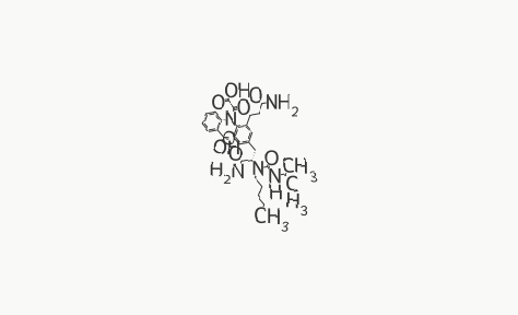 CCCCCN(C(=O)NC(C)C)[C@@H](Cc1ccc(N(C(=O)C(=O)O)c2ccccc2C(=O)O)c(CCC(N)=O)c1)C(N)=O